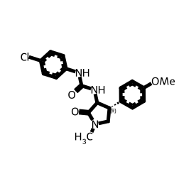 COc1ccc([C@@H]2CN(C)C(=O)C2NC(=O)Nc2ccc(Cl)cc2)cc1